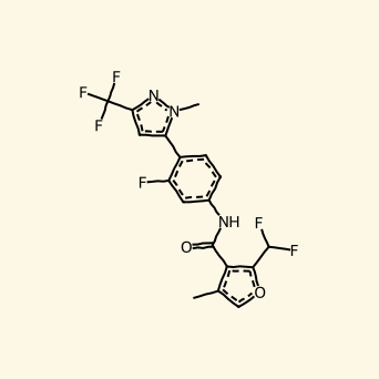 Cc1coc(C(F)F)c1C(=O)Nc1ccc(-c2cc(C(F)(F)F)nn2C)c(F)c1